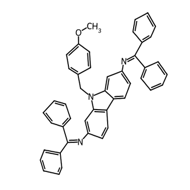 COc1ccc(Cn2c3cc(N=C(c4ccccc4)c4ccccc4)ccc3c3ccc(N=C(c4ccccc4)c4ccccc4)cc32)cc1